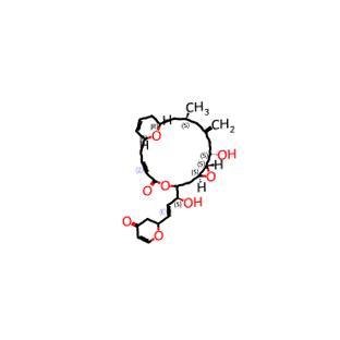 C=C1C[C@H](C)C[C@@H]2CC=C[C@@H](C/C=C\C(=O)OC([C@@H](O)/C=C/C3CC(=O)C=CO3)C[C@@H]3O[C@H]3[C@@H](O)C1)O2